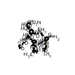 CCc1nc(C)oc1C(=O)Nc1nc2cc(C(N)=O)cc(OCCCN(C)C(=O)OCc3ccc(O[C@@H]4O[C@H](C(=O)O)[C@@H](O)[C@H](O)[C@H]4O)c(NC(=O)CCNC(=O)CCN4C(=O)C=CC4=O)c3)c2n1C/C=C/Cn1c2nc(-c3cc(C)nn3CC)ncc2c2cc(C(N)=O)cc(OC)c21